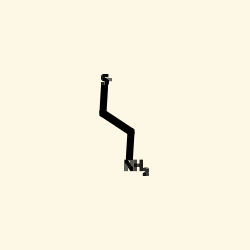 NCC[S]